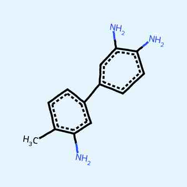 Cc1ccc(-c2ccc(N)c(N)c2)cc1N